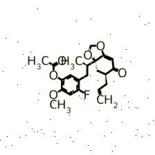 C=CC[C@H]1C[C@]2([C@H](C)Cc3cc(OC(C)=O)c(OC)cc3F)OCOC2=CC1=O